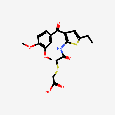 CCc1cc(C(=O)c2ccc(OC)c(OC)c2)c(NC(=O)CSCC(=O)O)s1